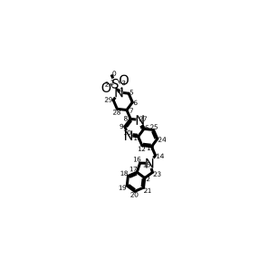 CS(=O)(=O)N1CCC(c2cnc3cc(CN4Cc5ccccc5C4)ccc3n2)CC1